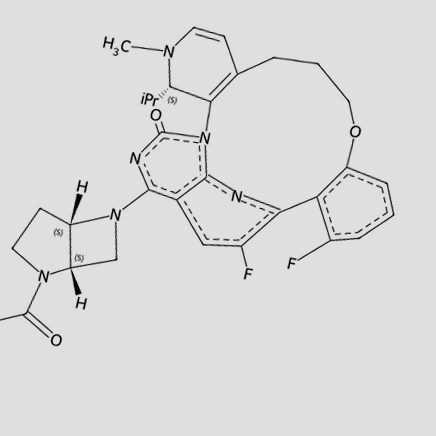 C=CC(=O)N1CC[C@H]2[C@@H]1CN2c1nc(=O)n2c3nc(c(F)cc13)-c1c(F)cccc1OCCCC1=C2[C@H](C(C)C)N(C)C=C1